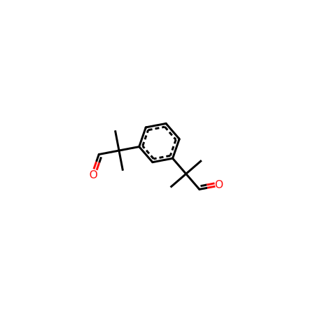 CC(C)(C=O)c1cccc(C(C)(C)C=O)c1